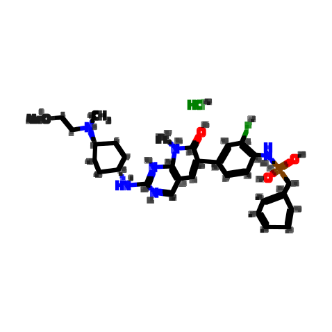 COCCN(C)[C@H]1CC[C@H](Nc2ncc3cc(-c4ccc(NS(=O)(=O)Cc5ccccc5)c(F)c4)c(=O)n(C(C)C)c3n2)CC1.Cl